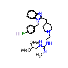 C/N=C(/NCCN1CCC(Cc2nc3ccccc3n2Cc2ccc(F)cc2)CC1)NCC(OC)OC.I